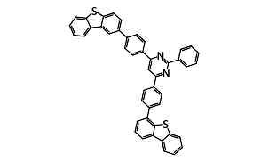 c1ccc(-c2nc(-c3ccc(-c4ccc5sc6ccccc6c5c4)cc3)cc(-c3ccc(-c4cccc5c4sc4ccccc45)cc3)n2)cc1